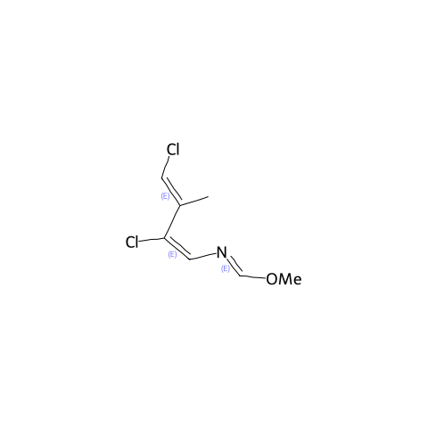 CO/C=N/C=C(Cl)\C(C)=C\Cl